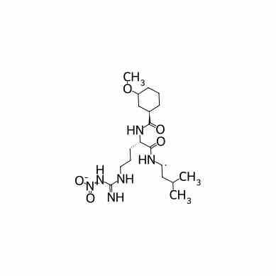 COC1CCC[C@@H](C(=O)N[C@@H](CCCNC(=N)N[N+](=O)[O-])C(=O)N[CH]CC(C)C)C1